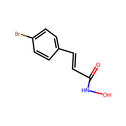 O=C(/C=C/c1ccc(Br)cc1)NO